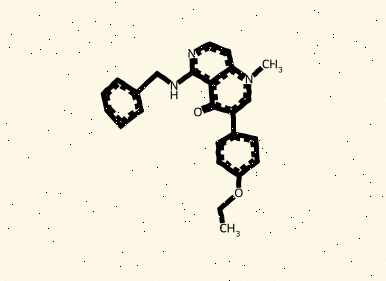 CCOc1ccc(-c2cn(C)c3ccnc(NCc4ccccc4)c3c2=O)cc1